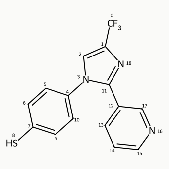 FC(F)(F)c1cn(-c2ccc(S)cc2)c(-c2cccnc2)n1